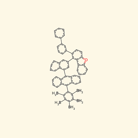 Bc1c(B)c(B)c(-c2c3ccccc3c(-c3cc(-c4c(-c5cccc(-c6ccccc6)c5)ccc5oc6ccccc6c45)cc4ccccc34)c3ccccc23)c(B)c1B